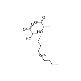 CC(O)C(=O)[O-].CC(O)C(=O)[O-].CCC[CH2][Sn+2][CH2]CCC